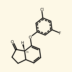 O=C1CCC2[C]=CC=C(Oc3cc(F)cc(Cl)c3)[C@@H]12